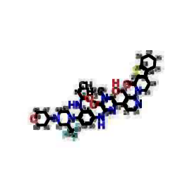 C=CC(=O)Nc1cc(Nc2nc(-c3ccnc(N4CCc5c(sc6c5CCCC6)C4=O)c3CO)cn(C)c2=O)ccc1N1CCN(C2CCOCC2)CC1C(F)(F)F